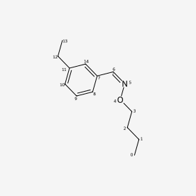 CCCCO/N=[C]\c1cccc(CC)c1